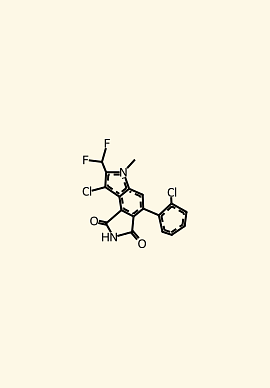 Cn1c(C(F)F)c(Cl)c2c3c(c(-c4ccccc4Cl)cc21)C(=O)NC3=O